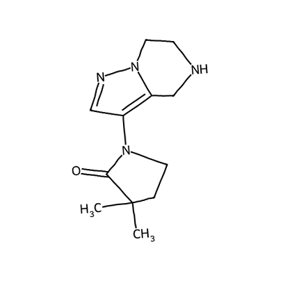 CC1(C)CCN(c2cnn3c2CNCC3)C1=O